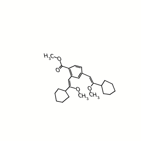 COC(=O)c1ccc(C=C(OC)C2CCCCC2)cc1C=C(OC)C1CCCCC1